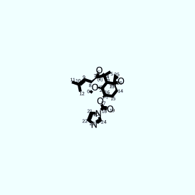 CO[C@H]1C(C2(C)O[C@@H]2CC=C(C)C)[C@]2(CC[C@H]1OC(=O)n1ccnc1)CO2